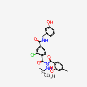 Cc1ccc(C(=O)N(N[C@@H](C)C(=O)O)C(=O)c2ccc(C(=O)NCc3cccc(O)c3)cc2Cl)c(O)c1